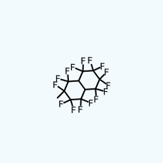 CC1(F)C(F)(F)C2C(C(F)(F)C1(F)F)C(F)(F)C(F)(F)C(F)(F)C2(F)F